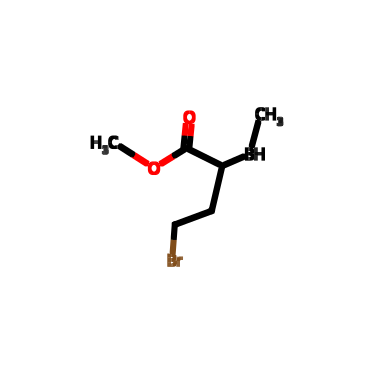 CBC(CCBr)C(=O)OC